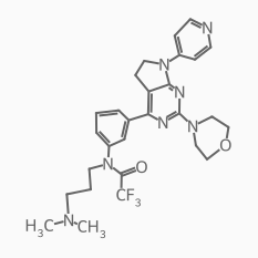 CN(C)CCCN(C(=O)C(F)(F)F)c1cccc(-c2nc(N3CCOCC3)nc3c2CCN3c2ccncc2)c1